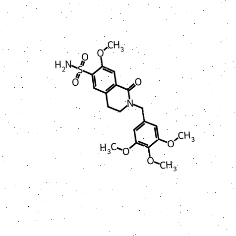 COc1cc2c(cc1S(N)(=O)=O)CCN(Cc1cc(OC)c(OC)c(OC)c1)C2=O